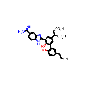 N#CCCc1ccc(O)c(-c2cc(C(CC(=O)O)C(=O)O)cc(-c3nc4cc(C(=N)N)ccc4[nH]3)c2O)c1